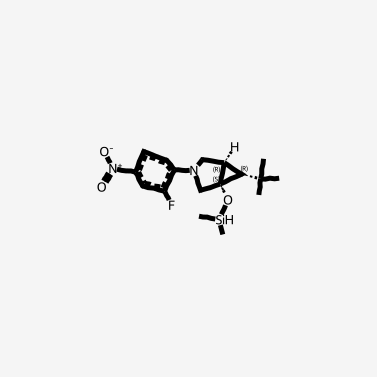 C[SiH](C)O[C@]12CN(c3ccc([N+](=O)[O-])cc3F)C[C@H]1[C@@H]2C(C)(C)C